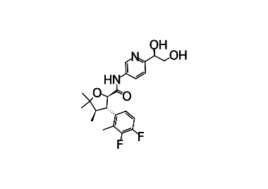 Cc1c([C@@H]2[C@@H](C)C(C)(C)O[C@H]2C(=O)Nc2ccc([C@@H](O)CO)nc2)ccc(F)c1F